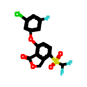 O=C1OCc2c(S(=O)(=O)C(F)F)ccc(Oc3cc(F)cc(Cl)c3)c21